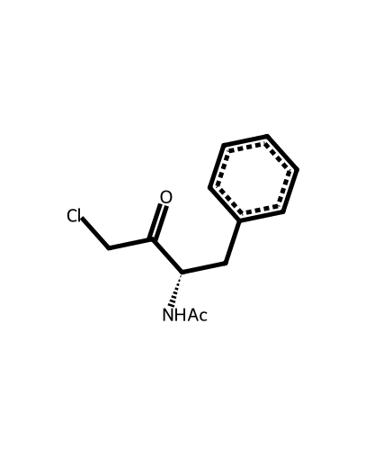 CC(=O)N[C@@H](Cc1ccccc1)C(=O)CCl